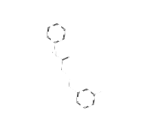 O=C(COCc1cccc(Cl)c1)Nc1ccccc1